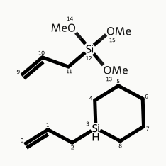 C=CC[SiH]1CCCCC1.C=CC[Si](OC)(OC)OC